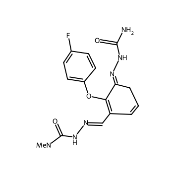 CNC(=O)NN=CC1=C(Oc2ccc(F)cc2)C(=NNC(N)=O)CC=C1